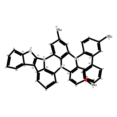 CC(C)(C)c1ccc(N2c3cc(C(C)(C)C)ccc3B3c4c2cc(C(C)(C)C)cc4-n2c4oc5ccccc5c4c4cccc3c42)c(-c2ccccc2)c1